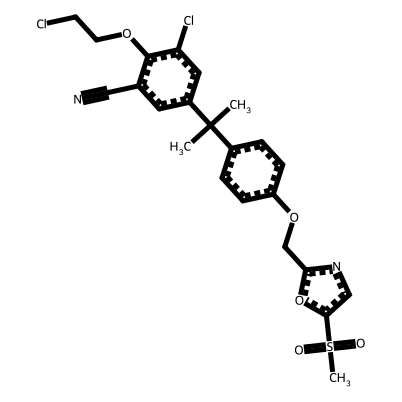 CC(C)(c1ccc(OCc2ncc(S(C)(=O)=O)o2)cc1)c1cc(Cl)c(OCCCl)c(C#N)c1